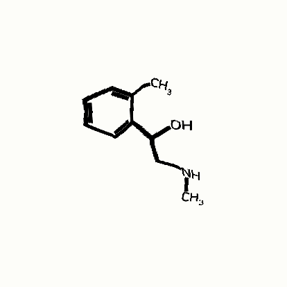 CNCC(O)c1ccccc1C